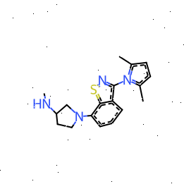 CNC1CCN(c2cccc3c(-n4c(C)ccc4C)nsc23)C1